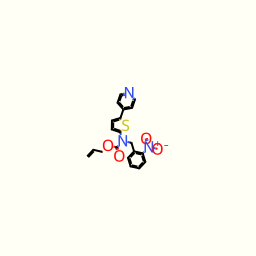 C=CCOC(=O)N(Cc1ccccc1[N+](=O)[O-])c1ccc(-c2ccncc2)s1